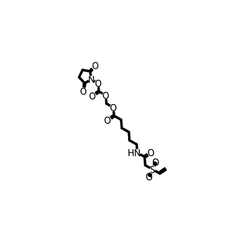 C=CS(=O)(=O)CC(=O)NCCCCCC(=O)OCOC(=O)ON1C(=O)CCC1=O